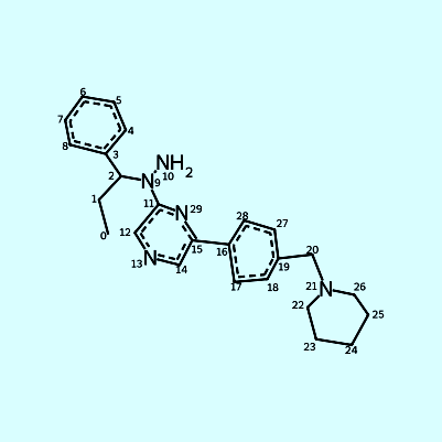 CCC(c1ccccc1)N(N)c1cncc(-c2ccc(CN3CCCCC3)cc2)n1